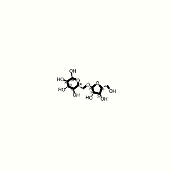 OC[C@H]1O[C@@H](OC[C@H]2O[C@H](O)[C@H](O)[C@@H](O)[C@@H]2O)[C@@H](O)[C@@H]1O